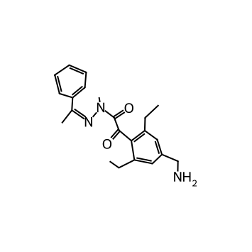 CCc1cc(CN)cc(CC)c1C(=O)C(=O)N(C)N=C(C)c1ccccc1